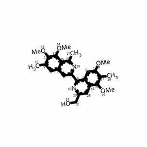 COc1cc2c(-c3cc4cc(C)c(OC)c(OC)c4c(C)n3)nc(CO)cc2c(OC)c1C